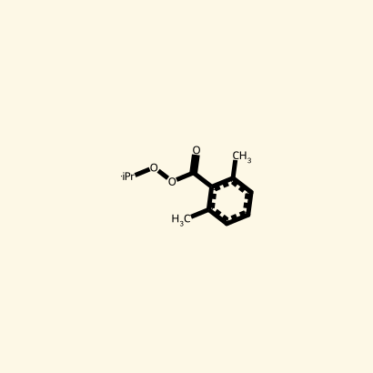 C[C](C)OOC(=O)c1c(C)cccc1C